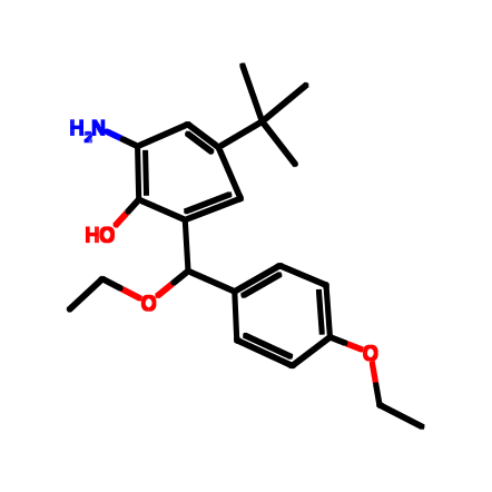 CCOc1ccc(C(OCC)c2cc(C(C)(C)C)cc(N)c2O)cc1